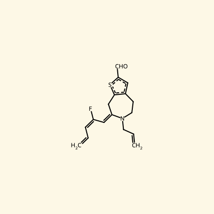 C=C/C=C(F)\C=C1/Cc2sc(C=O)cc2CCN1CC=C